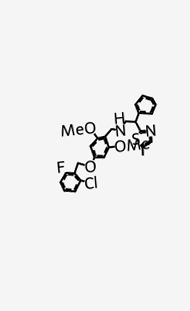 COc1cc(OCc2c(F)cccc2Cl)cc(OC)c1CNCC(c1ccccc1)c1ncc(C)s1